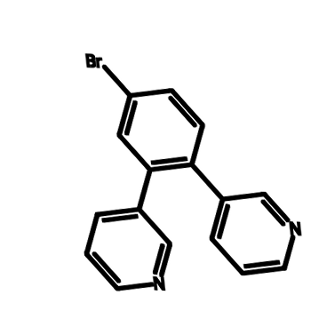 Brc1ccc(-c2cccnc2)c(-c2cccnc2)c1